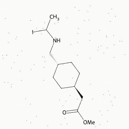 COC(=O)C[C@H]1CC[C@H](CNC(C)I)CC1